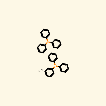 [C].[Ir].c1ccc(P(c2ccccc2)c2ccccc2)cc1.c1ccc(P(c2ccccc2)c2ccccc2)cc1